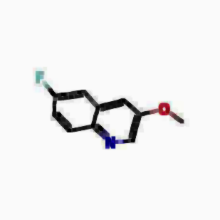 COc1cnc2ccc(F)cc2c1